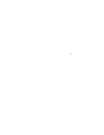 NS(=O)(=O)c1ccc(C2=C(c3ccc(C(F)(F)F)cc3)CC(CO)(CO)C2)cc1